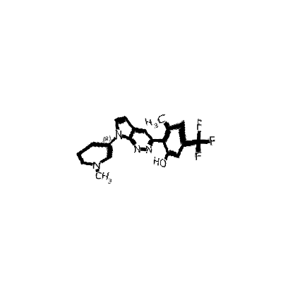 Cc1cc(C(F)(F)F)cc(O)c1-c1cc2ccn([C@@H]3CCCN(C)C3)c2nn1